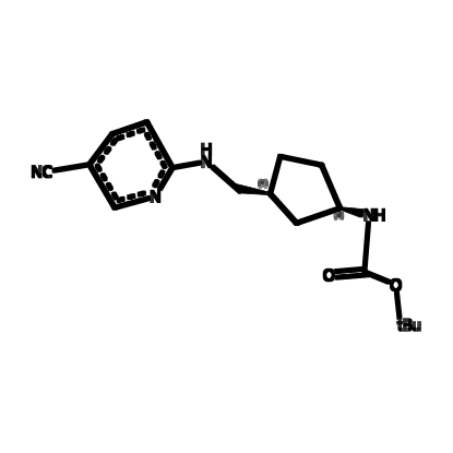 CC(C)(C)OC(=O)N[C@@H]1CC[C@H](CNc2ccc(C#N)cn2)C1